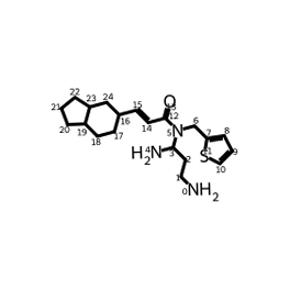 NCCC(N)N(Cc1cccs1)C(=O)/C=C/C1CCC2CCCC2C1